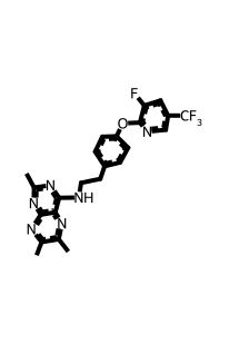 Cc1nc(NCCc2ccc(Oc3ncc(C(F)(F)F)cc3F)cc2)c2nc(C)c(C)nc2n1